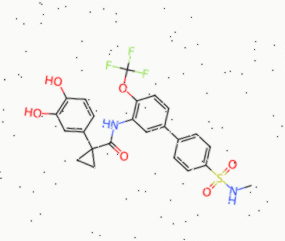 CNS(=O)(=O)c1ccc(-c2ccc(OC(F)(F)F)c(NC(=O)C3(c4ccc(O)c(O)c4)CC3)c2)cc1